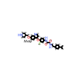 C=C(C)c1ccc(CCNC(=O)C(=O)Nc2ccc(Oc3ccnc4cc(OCC5CCNCC5)c(OC)cc34)c(F)c2)cc1